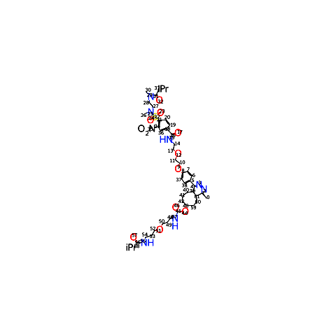 CC1=NN=C(c2ccc(OCCOCCNC(=O)c3ccc(S(=O)(=O)N(C)CCN(C)C(=O)C(C)C)c([N+](=O)[O-])c3)cc2)C2CCCC(OC(=O)NCCCOCCCNC(=O)C(C)C)CCC12